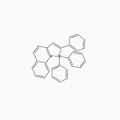 C1=C(c2ccccc2)[B-](c2ccccc2)(c2ccccc2)[n+]2c1ccc1ccccc12